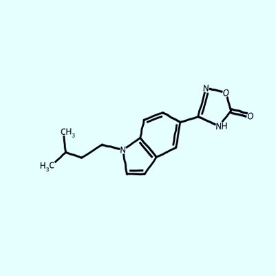 CC(C)CCn1ccc2cc(-c3noc(=O)[nH]3)ccc21